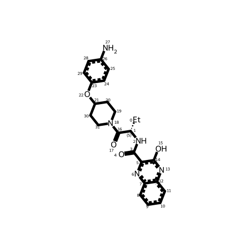 CC[C@H](NC(=O)c1nc2ccccc2nc1O)C(=O)N1CCC(Oc2ccc(N)cc2)CC1